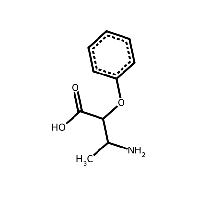 CC(N)C(Oc1ccccc1)C(=O)O